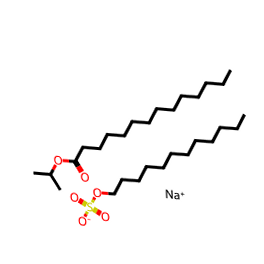 CCCCCCCCCCCCCC(=O)OC(C)C.CCCCCCCCCCCCOS(=O)(=O)[O-].[Na+]